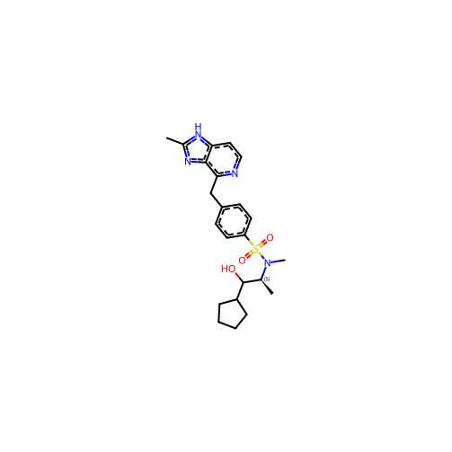 Cc1nc2c(Cc3ccc(S(=O)(=O)N(C)[C@@H](C)C(O)C4CCCC4)cc3)nccc2[nH]1